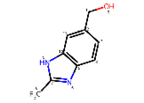 OCc1ccc2nc(C(F)(F)F)[nH]c2c1